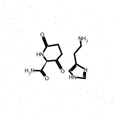 NC(=O)[C@H]1NC(=O)CCC1=O.NCCc1c[nH]cn1